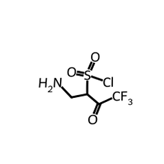 NCC(C(=O)C(F)(F)F)S(=O)(=O)Cl